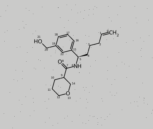 C=CCCC[C@@H](NC(=O)C1CCCOC1)c1cccc(CO)c1